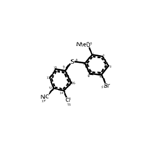 COc1ccc(Br)cc1Sc1ccc(C#N)c(Cl)c1